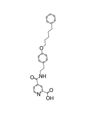 O=C(NCCc1ccc(OCCCCCc2ccccc2)cc1)c1ccnc(C(=O)O)c1